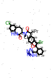 CC(C)C(C(=O)N(C)C1CCc2cc(Cl)ccc2NC1=O)c1ccc2oc(-c3ccccc3-c3nnn[nH]3)c(Br)c2c1